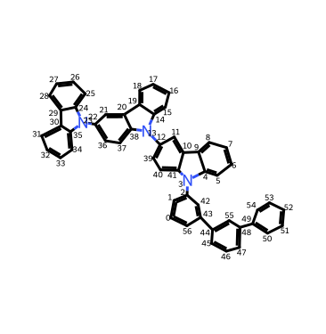 C1=C=C(n2c3ccccc3c3cc(-n4c5ccccc5c5cc(-n6c7ccccc7c7ccccc76)ccc54)ccc32)C=C(c2cccc(-c3ccccc3)c2)C=1